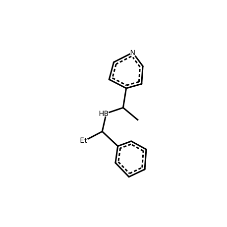 CCC(BC(C)c1ccncc1)c1ccccc1